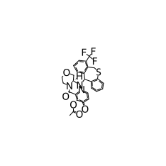 CC(=O)Oc1c2n(ccc1=O)N([C@@H]1c3ccccc3SCc3c1cccc3C(F)(F)F)[C@@H]1COCCN1C2=O